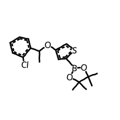 CC(Oc1csc(B2OC(C)(C)C(C)(C)O2)c1)c1ccccc1Cl